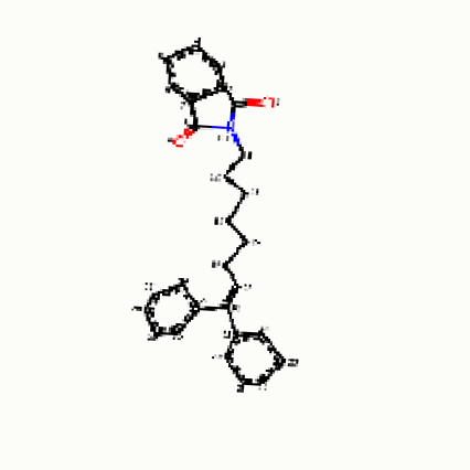 O=C1c2ccccc2C(=O)N1CCCCCCC=C(c1ccccc1)c1ccccc1